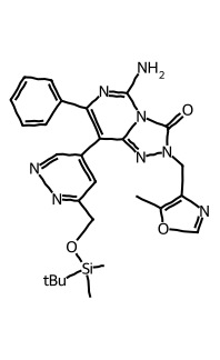 Cc1ocnc1Cn1nc2c(-c3cnnc(CO[Si](C)(C)C(C)(C)C)c3)c(-c3ccccc3)nc(N)n2c1=O